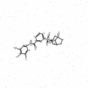 C[C@@]1(O)C2CC[C@H]1CC(S(=O)(=O)c1cccc(C(=O)Nc3cc(F)c(F)c(F)c3)c1)C2